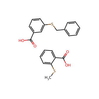 CSc1ccccc1C(=O)O.O=C(O)c1cccc(SCc2ccccc2)c1